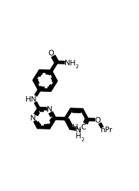 C=C(/C=C\C(=C/N)c1ccnc(Nc2ccc(C(N)=O)cc2)n1)OCCC